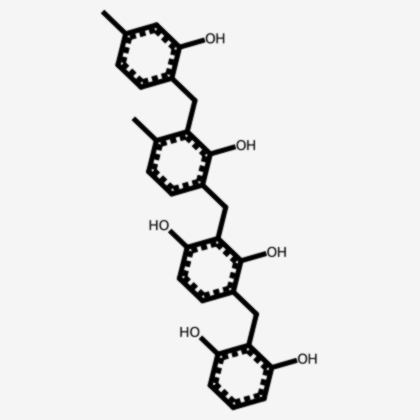 Cc1ccc(Cc2c(C)ccc(Cc3c(O)ccc(Cc4c(O)cccc4O)c3O)c2O)c(O)c1